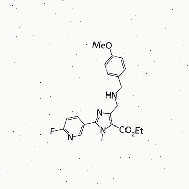 CCOC(=O)c1c(CNCc2ccc(OC)cc2)nc(-c2ccc(F)nc2)n1C